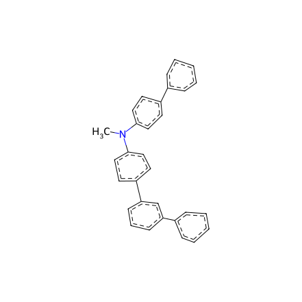 CN(c1ccc(-c2ccccc2)cc1)c1ccc(-c2cccc(-c3ccccc3)c2)cc1